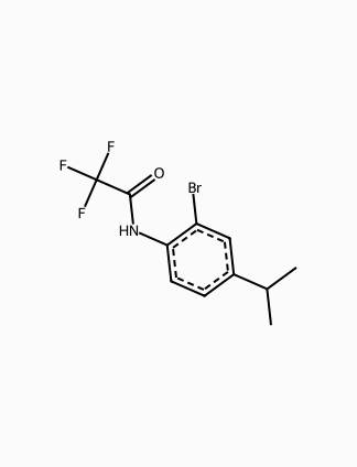 CC(C)c1ccc(NC(=O)C(F)(F)F)c(Br)c1